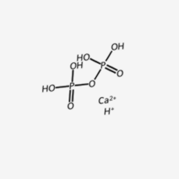 O=P(O)(O)OP(=O)(O)O.[Ca+2].[H+]